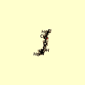 CC(C)(c1ccc(OCC(O)CN2N=NC(CO)C2I)cc1)c1ccc(OCC(O)CCl)c(Cl)c1